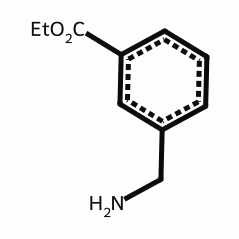 CCOC(=O)c1cccc(CN)c1